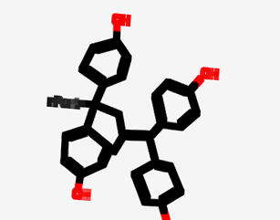 CCCCCC(CC(C)=C(c1ccc(O)cc1)c1ccc(O)cc1)(c1ccc(O)cc1)c1ccc(O)cc1